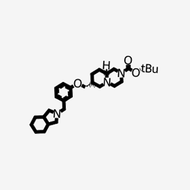 CC(C)(C)OC(=O)N1CCN2C[C@H](COc3cccc(CN4CC5CCCCC5C4)c3)CC[C@H]2C1